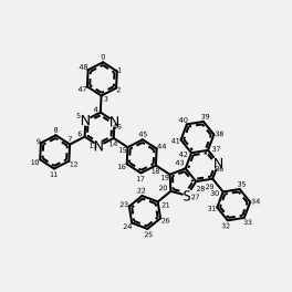 c1ccc(-c2nc(-c3ccccc3)nc(-c3ccc(-c4c(-c5ccccc5)sc5c(-c6ccccc6)nc6ccccc6c45)cc3)n2)cc1